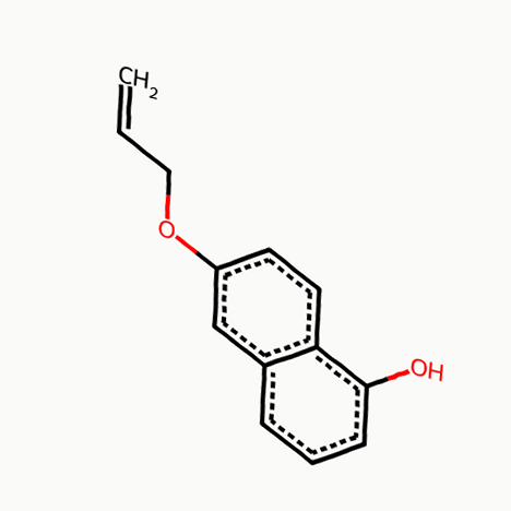 C=CCOc1ccc2c(O)cccc2c1